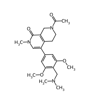 COc1cc(-c2cn(C)c(=O)c3c2CCN(C(C)=O)C3)cc(OC)c1CN(C)C